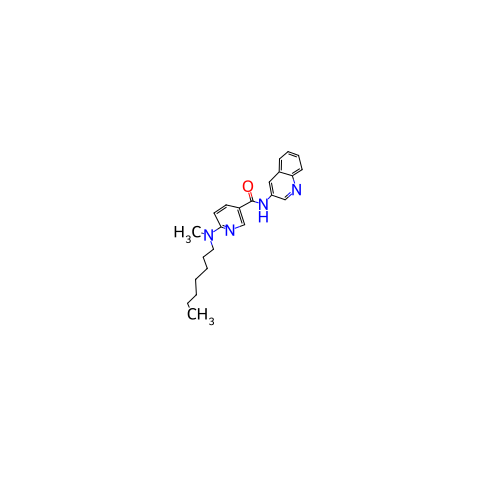 CCCCCCCN(C)c1ccc(C(=O)Nc2cnc3ccccc3c2)cn1